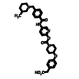 CC1CCCN(Cc2ccc(C(=O)Nc3ccc(OC(=O)N4CCC(Oc5ccc(CC(=O)O)cc5)CC4)nc3)cc2)C1